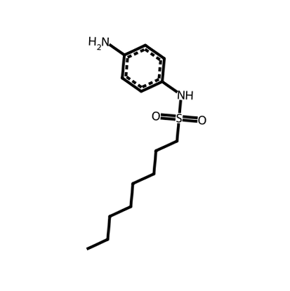 CCCCCCCCS(=O)(=O)Nc1ccc(N)cc1